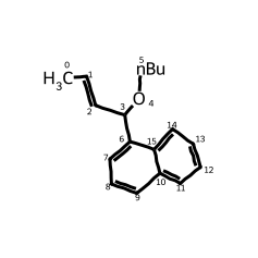 CC=CC(OCCCC)c1cccc2ccccc12